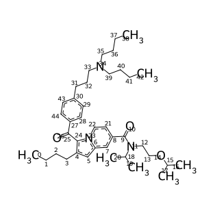 CCCCc1cc2cc(C(=O)N(CCOC(C)C)C(C)C)ccn2c1C(=O)c1ccc(CCCN(CCCC)CCCC)cc1